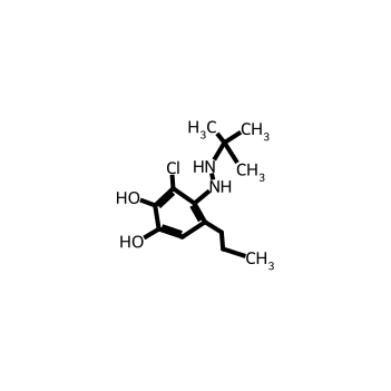 CCCc1cc(O)c(O)c(Cl)c1NNC(C)(C)C